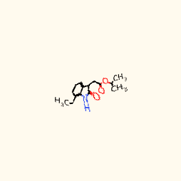 CCc1cccc2c1NC(=O)C2CC(=O)OC(C)C